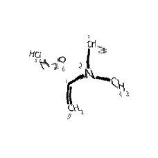 C=CN(C)C.Cl.O